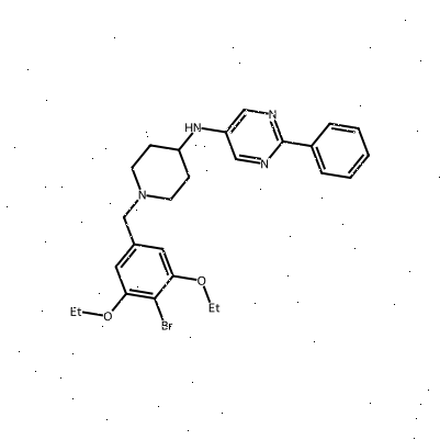 CCOc1cc(CN2CCC(Nc3cnc(-c4ccccc4)nc3)CC2)cc(OCC)c1Br